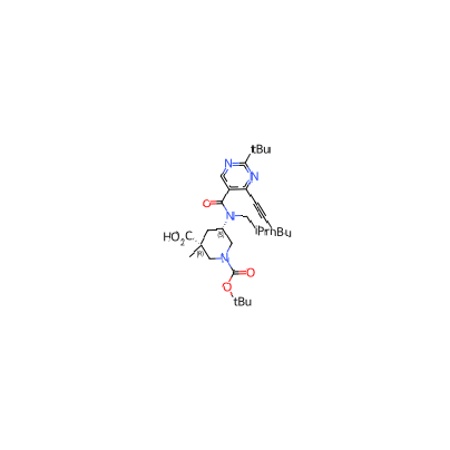 CCCCC#Cc1nc(C(C)(C)C)ncc1C(=O)N(CC(C)C)[C@@H]1CN(C(=O)OC(C)(C)C)C[C@](C)(C(=O)O)C1